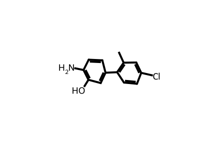 Cc1cc(Cl)ccc1-c1ccc(N)c(O)c1